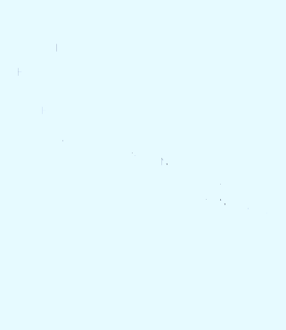 Cc1ccc(C(NC(=O)c2cccc(C(F)(F)F)c2Cl)C23CCC(CC2)CN3C)cc1